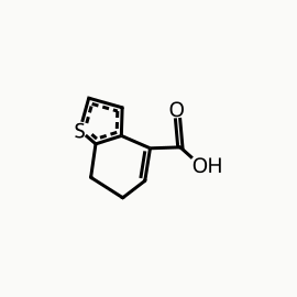 O=C(O)C1=CCCc2sccc21